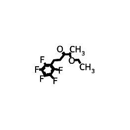 CCOC(C)C(=O)CCc1c(F)c(F)c(F)c(F)c1F